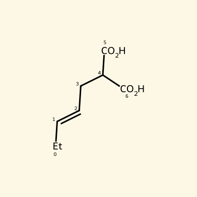 CC/C=C/CC(C(=O)O)C(=O)O